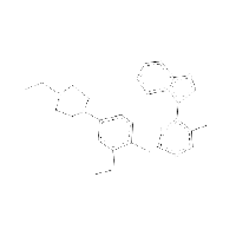 CCN1CCN(c2ccc(Nc3ncc(F)c(-c4cnc5ccccn45)n3)c(OC)c2)CC1